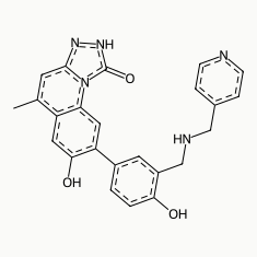 Cc1cc2n[nH]c(=O)n2c2cc(-c3ccc(O)c(CNCc4ccncc4)c3)c(O)cc12